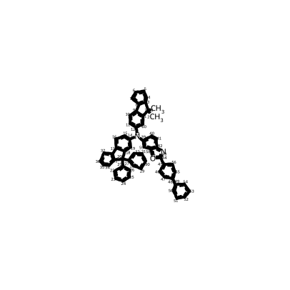 CC1(C)c2ccccc2-c2ccc(N(c3ccc4c(c3)C(c3ccccc3)(c3ccccc3)c3ccccc3-4)c3ccc4nc(-c5ccc(-c6ccccc6)cc5)oc4c3)cc21